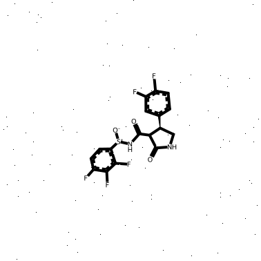 O=C1NC[C@H](c2ccc(F)c(F)c2)C1C(=O)N[S+]([O-])c1ccc(F)c(F)c1F